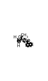 CC[C@H](C)C(c1c[nH]cn1)N1CCN(C(=O)c2cccc3ccccc23)CC1